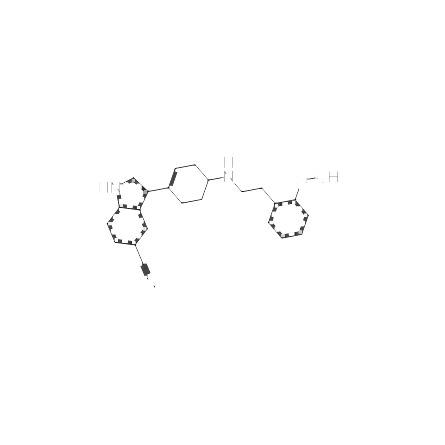 COc1ccccc1CCNC1CC=C(c2c[nH]c3ccc(C#N)cc23)CC1